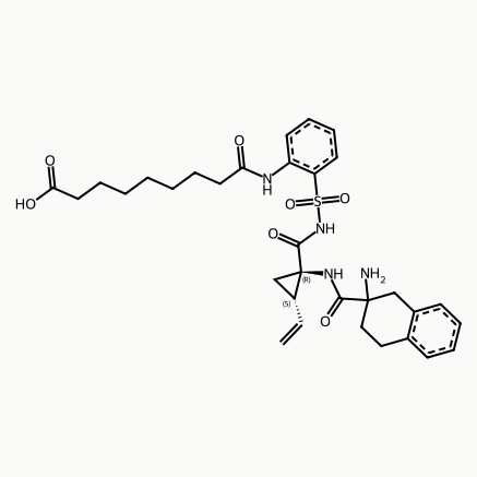 C=C[C@@H]1C[C@]1(NC(=O)C1(N)CCc2ccccc2C1)C(=O)NS(=O)(=O)c1ccccc1NC(=O)CCCCCCCC(=O)O